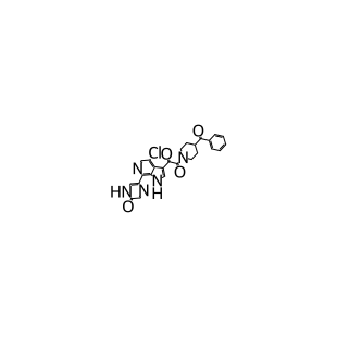 O=C(C(=O)N1CCC(C(=O)c2ccccc2)CC1)c1c[nH]c2c(-c3c[nH]c(=O)cn3)ncc(Cl)c12